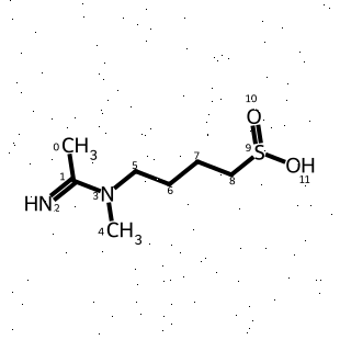 CC(=N)N(C)CCCCS(=O)O